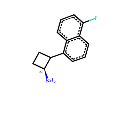 N[C@H]1CCC1c1cccc2c(F)cccc12